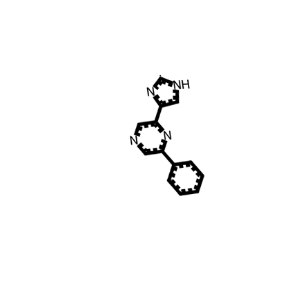 [c]1nc(-c2cncc(-c3ccccc3)n2)c[nH]1